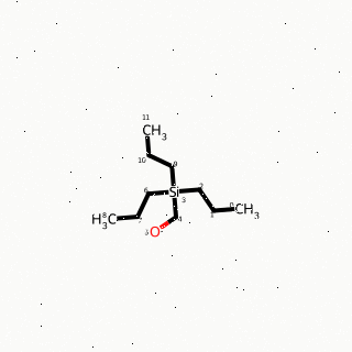 CCC[Si](C[O])(CCC)CCC